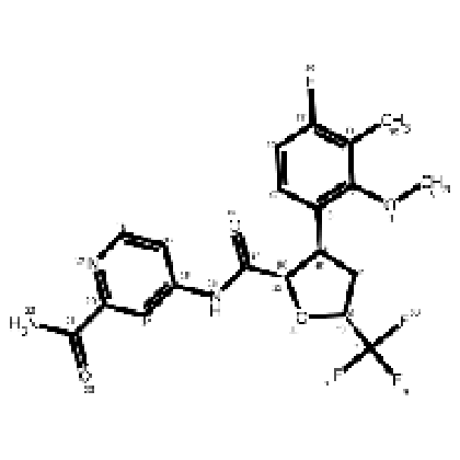 COc1c([C@H]2C[C@@H](C(F)(F)F)O[C@H]2C(=O)Nc2ccnc(C(N)=O)c2)ccc(F)c1C